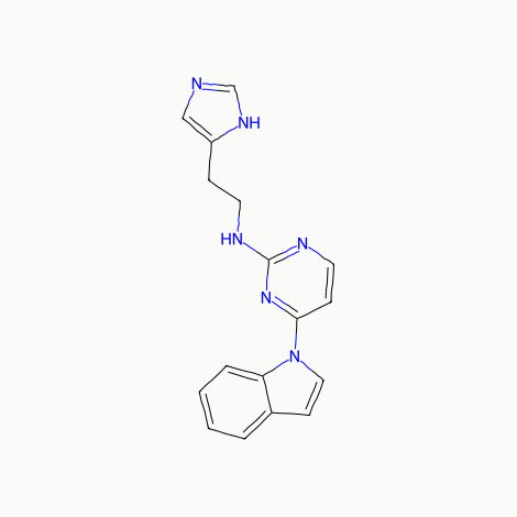 c1ccc2c(c1)ccn2-c1ccnc(NCCc2cnc[nH]2)n1